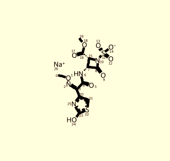 CON=C(C(=O)N[C@H]1C(=O)N(S(=O)(=O)[O-])[C@H]1C(=O)OC)c1csc(O)n1.[Na+]